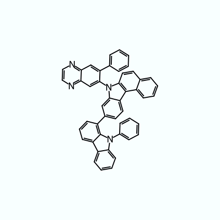 c1ccc(-c2cc3nccnc3cc2-n2c3cc(-c4cccc5c6ccccc6n(-c6ccccc6)c45)ccc3c3c4ccccc4ccc32)cc1